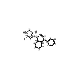 c1ccc(-c2nnc(N3C[C@@H]4C[C@H]3CN4)c3ccccc23)cc1